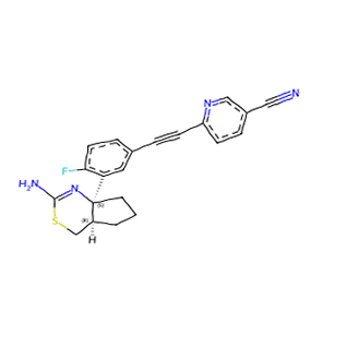 N#Cc1ccc(C#Cc2ccc(F)c([C@]34CCC[C@H]3CSC(N)=N4)c2)nc1